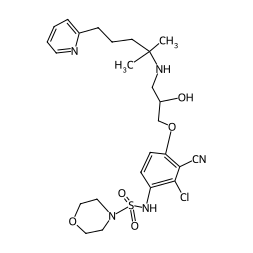 CC(C)(CCCc1ccccn1)NCC(O)COc1ccc(NS(=O)(=O)N2CCOCC2)c(Cl)c1C#N